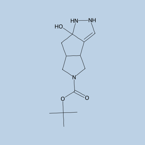 CC(C)(C)OC(=O)N1CC2CC3(O)NNC=C3C2C1